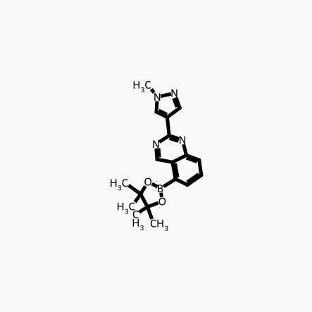 Cn1cc(-c2ncc3c(B4OC(C)(C)C(C)(C)O4)cccc3n2)cn1